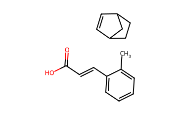 C1=CC2CCC1C2.Cc1ccccc1C=CC(=O)O